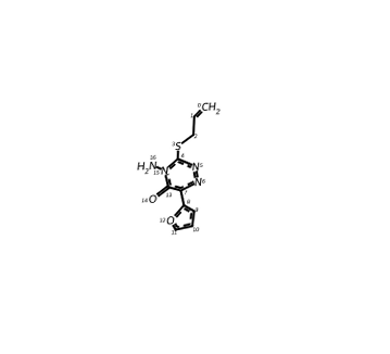 C=CCSc1nnc(-c2ccco2)c(=O)n1N